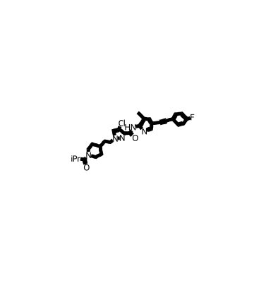 Cc1cc(C#Cc2ccc(F)cc2)cnc1NC(=O)c1nn(CCC2CCN(C(=O)C(C)C)CC2)cc1Cl